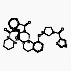 CNC(=O)[C@H]1CCCC[C@H]1C(=O)N1CCc2cccc(O[C@H]3CCN(C(=O)c4cncs4)C3)c2[C@H]1CN1C(=O)c2ccccc2C1=O